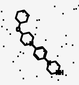 c1cc(N2CCC(OC3CCCCC3)CC2)ccc1N1CCNCC1